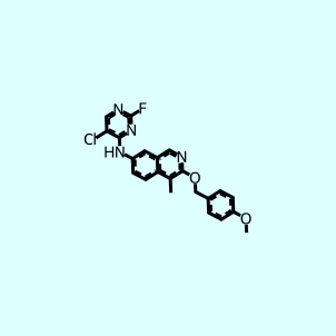 COc1ccc(COc2ncc3cc(Nc4nc(F)ncc4Cl)ccc3c2C)cc1